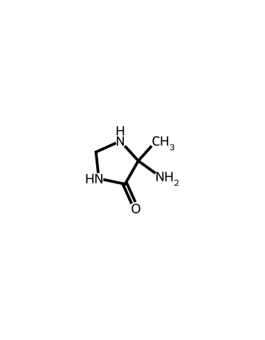 CC1(N)NCNC1=O